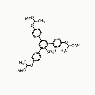 COC(C)Oc1ccc(-c2cc(-c3ccc(OC(C)OC)cc3)c(S(=O)(=O)O)c(-c3ccc(OC(C)OC)cc3)c2)cc1